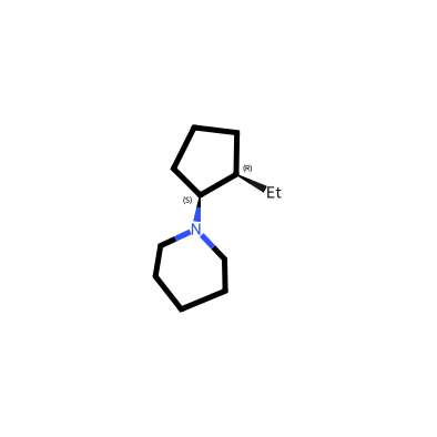 CC[C@@H]1CCC[C@@H]1N1CCCCC1